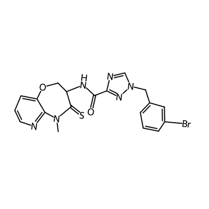 CN1C(=S)C(NC(=O)c2ncn(Cc3cccc(Br)c3)n2)COc2cccnc21